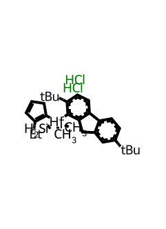 CCC1=[C]([Hf]([CH3])([CH3])(=[SiH2])[c]2c(C(C)(C)C)ccc3c2Cc2cc(C(C)(C)C)ccc2-3)CC=C1.Cl.Cl